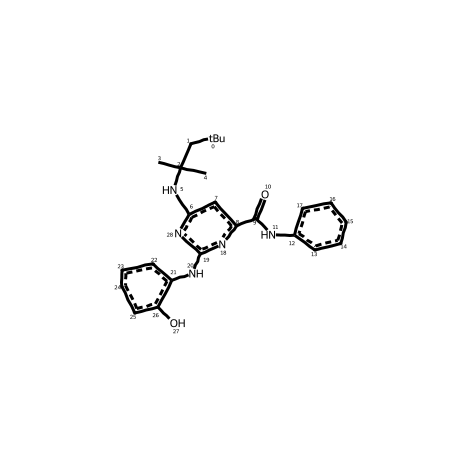 CC(C)(C)CC(C)(C)Nc1cc(C(=O)Nc2ccccc2)nc(Nc2ccccc2O)n1